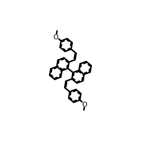 COc1ccc(/C=C\c2ccc3ccccc3c2-c2c(/C=C\c3ccc(OC)cc3)ccc3ccccc23)cc1